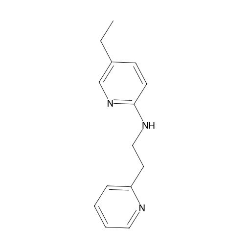 CCc1ccc(NCCc2ccccn2)nc1